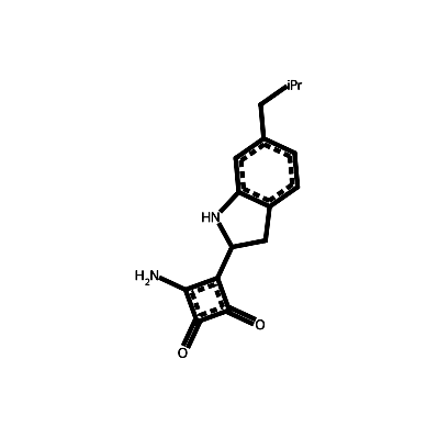 CC(C)Cc1ccc2c(c1)NC(c1c(N)c(=O)c1=O)C2